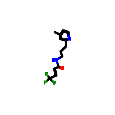 Cc1ccnc(CCCNC(=O)C=CC(F)(F)F)c1